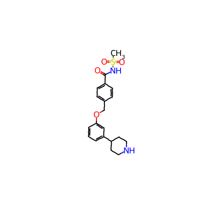 CS(=O)(=O)NC(=O)c1ccc(COc2cccc(C3CCNCC3)c2)cc1